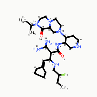 CCC(F)CNC(C=C1CCCC1)C(C(=O)NC1CNCCC1N1CCN2CCN(C(C)C)C(=O)C2C1)C(N)N